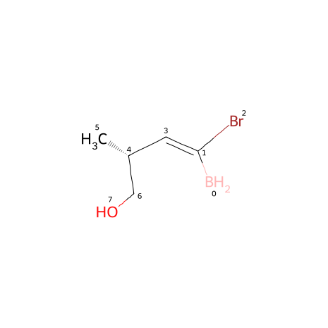 B/C(Br)=C\[C@@H](C)CO